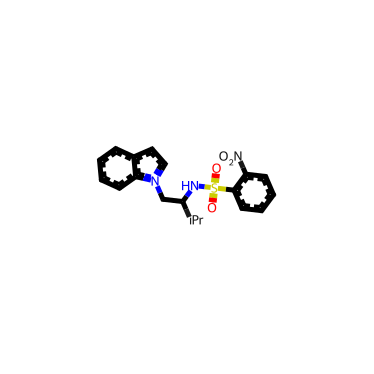 CC(C)C(Cn1ccc2ccccc21)NS(=O)(=O)c1ccccc1[N+](=O)[O-]